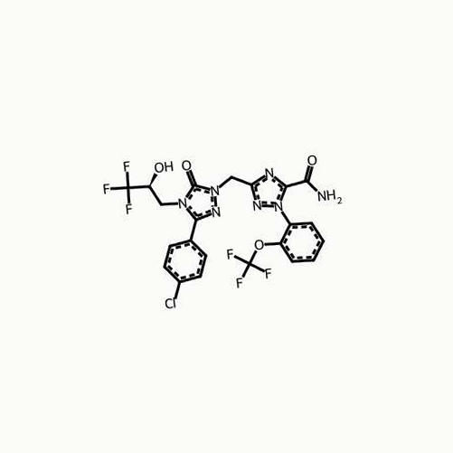 NC(=O)c1nc(Cn2nc(-c3ccc(Cl)cc3)n(C[C@H](O)C(F)(F)F)c2=O)nn1-c1ccccc1OC(F)(F)F